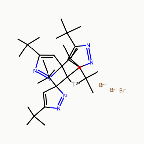 CC(C)(C)C1=CC(C(C)(C)C)([C]([Ti+3])(C2(C(C)(C)C)C=C(C(C)(C)C)N=N2)C2(C(C)(C)C)C=C(C(C)(C)C)N=N2)N=N1.[Br-].[Br-].[Br-]